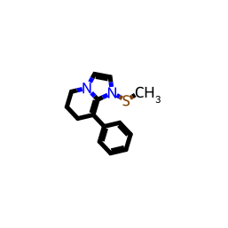 CSN1C=CN2CCCC(c3ccccc3)=C21